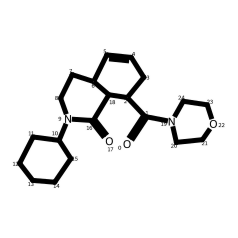 O=C(C1CC=CC2CCN(C3CCCCC3)C(=O)C21)N1CCOCC1